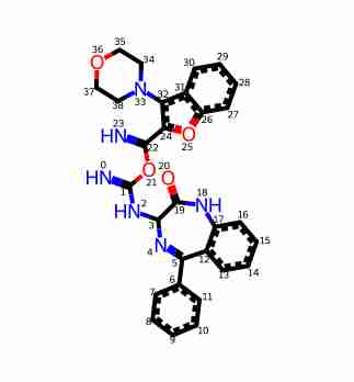 N=C(NC1N=C(c2ccccc2)c2ccccc2NC1=O)OC(=N)c1oc2ccccc2c1N1CCOCC1